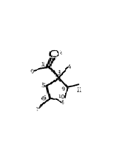 CC(=O)C(C)(CC(C)C)C(C)C